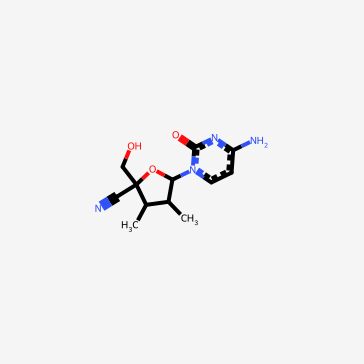 CC1C(n2ccc(N)nc2=O)OC(C#N)(CO)C1C